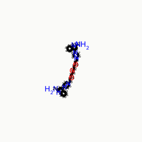 Nc1cc(N2CCN(CCOCCOCCOCCN3CCN(c4cc(N)nc5ccccc45)CC3)CC2)c2c(n1)=CCCC=2